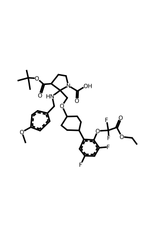 CCOC(=O)C(F)(F)Oc1c(F)cc(F)cc1C1CCC(OCC2(NCc3ccc(OC)cc3)C(C(=O)OC(C)(C)C)CCN2C(=O)O)CC1